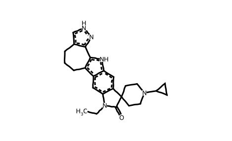 CCN1C(=O)C2(CCN(C3CC3)CC2)c2cc3[nH]c4c(c3cc21)CCCc1c[nH]nc1-4